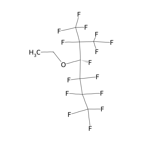 CCO[C@](F)(C(F)(F)C(F)(F)C(F)(F)F)C(F)(C(F)(F)F)C(F)(F)F